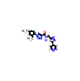 Cc1ccc(-n2cc(C(=O)NCc3nnc(-c4ccncc4)s3)nn2)c(C)c1